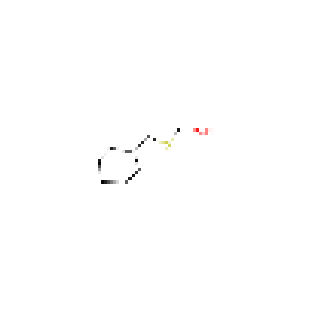 OCSCC1CCCCC1